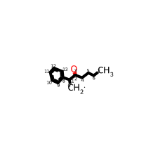 [CH2]C(C(=O)CCCC)c1ccccc1